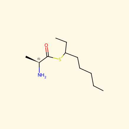 CCCCCC(CC)SC(=O)[C@H](C)N